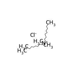 CCCCCCCCCC[N+](C)(C)CCCCCCCC(C)C.[Cl-]